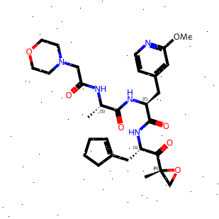 COc1cc(C[C@H](NC(=O)[C@H](C)NC(=O)CN2CCOCC2)C(=O)N[C@@H](CC2=CCCC2)C(=O)[C@@]2(C)CO2)ccn1